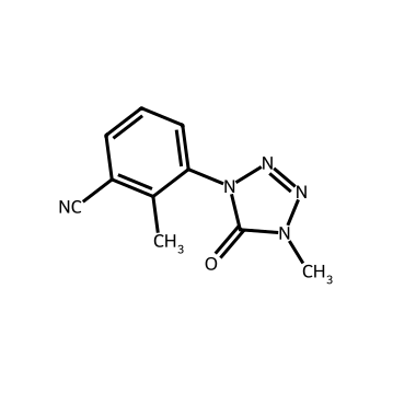 Cc1c(C#N)cccc1-n1nnn(C)c1=O